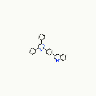 c1ccc(-c2cc(-c3ccccc3)nc(-c3ccc(-c4cnc5ccccc5c4)cc3)n2)cc1